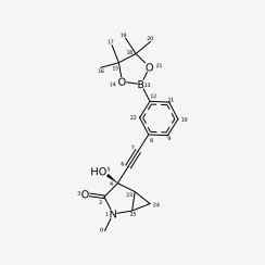 CN1C(=O)[C@](O)(C#Cc2cccc(B3OC(C)(C)C(C)(C)O3)c2)C2CC21